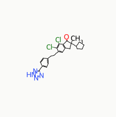 CC1(C2CCCC2)Cc2cc(CCc3ccc(-c4nn[nH]n4)cc3)c(Cl)c(Cl)c2C1=O